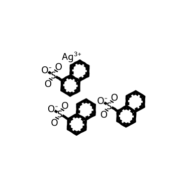 O=S(=O)([O-])c1cccc2ccccc12.O=S(=O)([O-])c1cccc2ccccc12.O=S(=O)([O-])c1cccc2ccccc12.[Ag+3]